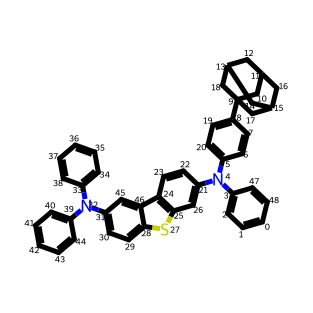 c1ccc(N(c2ccc(C34CC5CC(CC(C5)C3)C4)cc2)c2ccc3c(c2)sc2ccc(N(c4ccccc4)c4ccccc4)cc23)cc1